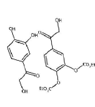 CCOC(=O)Oc1ccc(C(=O)CO)cc1OC(=O)OCC.O=C(CO)c1ccc(O)c(O)c1